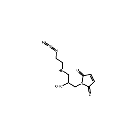 [N-]=[N+]=NCCNCC(C=O)CN1C(=O)C=CC1=O